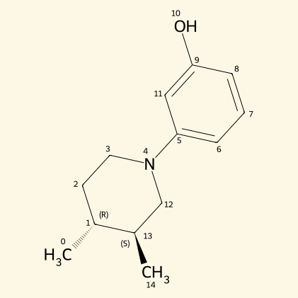 C[C@@H]1CCN(c2cccc(O)c2)C[C@H]1C